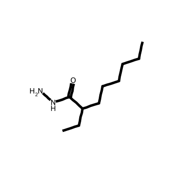 CCCCCCC(CC)C(=O)NN